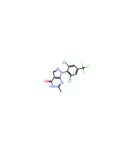 Cc1nc2c(cnn2-c2c(Cl)cc(C(F)(F)F)cc2Cl)c(=O)[nH]1